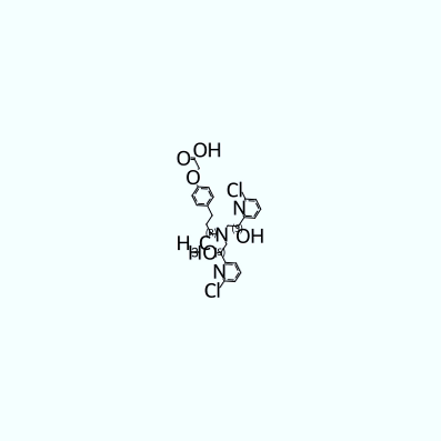 C[C@H](CCc1ccc(OCC(=O)O)cc1)N(C[C@H](O)c1cccc(Cl)n1)C[C@H](O)c1cccc(Cl)n1